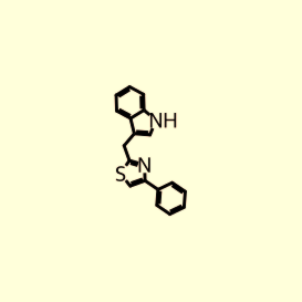 c1ccc(-c2csc(Cc3c[nH]c4ccccc34)n2)cc1